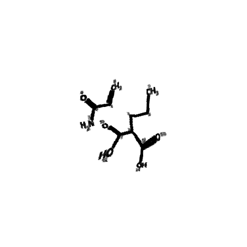 C=CC(N)=O.CCCC(C(=O)O)C(=O)O